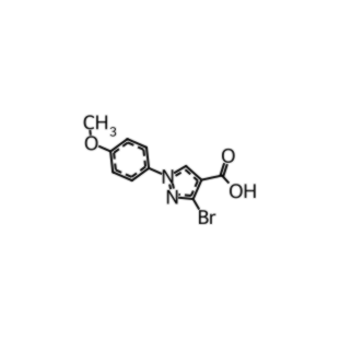 COc1ccc(-n2cc(C(=O)O)c(Br)n2)cc1